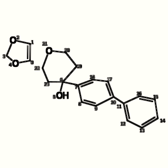 C1=COCO1.OC1(c2ccc(-c3ccccc3)cc2)CCOCC1